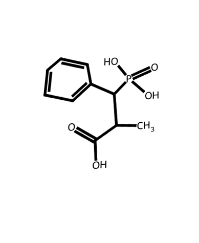 CC(C(=O)O)C(c1ccccc1)P(=O)(O)O